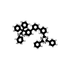 c1ccc(-c2nc(-c3ccccc3)nc(-c3cccc(-c4cccc(-c5ccc6c(c5)C(c5ccccc5)(c5ccccc5)c5nc7ccccc7n5-6)c4)c3)n2)cc1